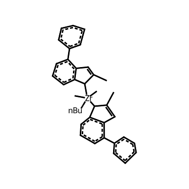 CCC[CH2][Zr]([CH3])([CH3])([CH]1C(C)=Cc2c(-c3ccccc3)cccc21)[CH]1C(C)=Cc2c(-c3ccccc3)cccc21